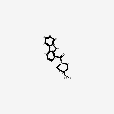 CNC1CCN(C(=O)c2cccc3c2Cc2ccccc2-3)CC1